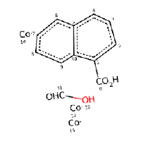 O=C(O)c1cccc2ccccc12.O=CO.[Co].[Co].[Co]